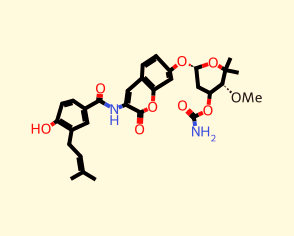 CO[C@@H]1C(OC(N)=O)C[C@H](Oc2ccc3cc(NC(=O)c4ccc(O)c(CC=C(C)C)c4)c(=O)oc3c2)OC1(C)C